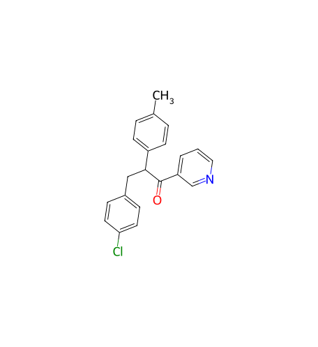 Cc1ccc(C(Cc2ccc(Cl)cc2)C(=O)c2cccnc2)cc1